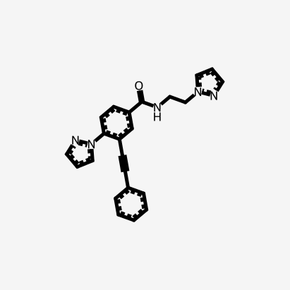 O=C(NCCn1cccn1)c1ccc(-n2cccn2)c(C#Cc2ccccc2)c1